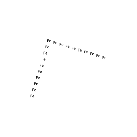 [Fe].[Fe].[Fe].[Fe].[Fe].[Fe].[Fe].[Fe].[Fe].[Fe].[Fe].[Fe].[Fe].[Fe].[Fe].[Fe].[Fe].[Fe].[Fe]